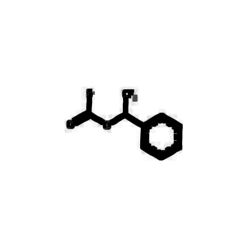 O=C([S])OC(c1ccccc1)C(F)(F)F